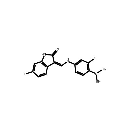 CCCN(CCC)c1ccc(NC=C2C(=O)Nc3cc(F)ccc32)cc1F